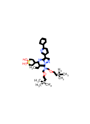 C=Cc1c(C2CCS(O)(O)CC2)nc2c(-c3ccc(-c4ccccc4)nc3)cnn2c1N(COCC[Si](C)(C)C)COCC[Si](C)(C)C